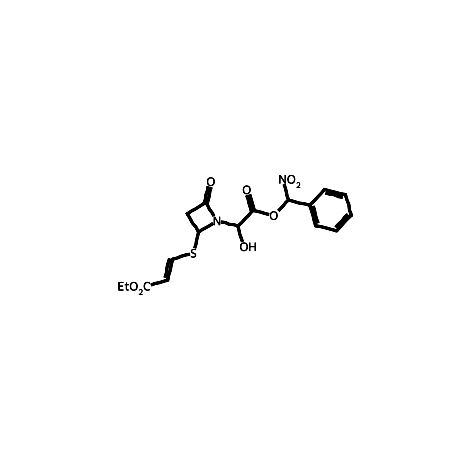 CCOC(=O)C=CSC1CC(=O)N1C(O)C(=O)OC(c1ccccc1)[N+](=O)[O-]